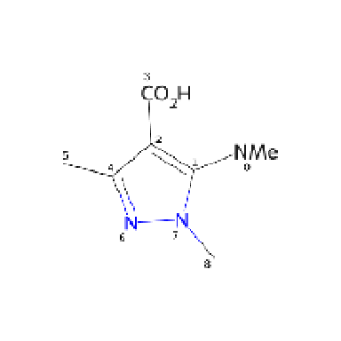 CNc1c(C(=O)O)c(C)nn1C